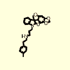 Cc1ccc(CCNCCCN2C(=O)C3(COc4cc5c(cc43)OCO5)c3ccccc32)cc1